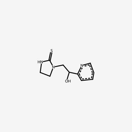 OC(CN1CCNC1=S)c1ccccn1